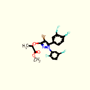 COC(=O)C(C)Oc1nn(-c2cc(F)ccc2F)c(-c2ccc(F)c(F)c2)c1Br